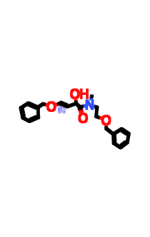 CN(CCOCc1ccccc1)C(=O)C(O)/C=C/OCc1ccccc1